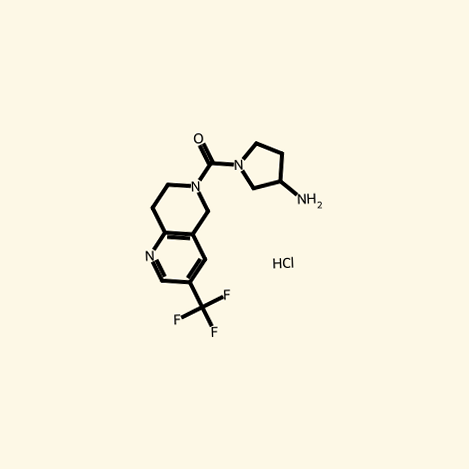 Cl.NC1CCN(C(=O)N2CCc3ncc(C(F)(F)F)cc3C2)C1